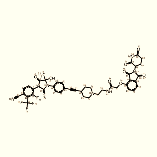 CC1(C)C(=O)N(c2ccc(C#N)c(C(F)(F)F)c2F)C(=S)N1c1ccc(C#CC2CCN(CCNC(=O)COc3cccc4c3C(=O)N(C3CCC(=O)NC3=O)C4=O)CC2)cc1